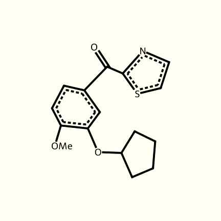 COc1ccc(C(=O)c2nccs2)cc1OC1CCCC1